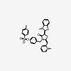 CN1C(=c2sc(=Cc3cccc[n+]3C)n(Cc3ccccc3)c2=O)Sc2ccccc21.Cc1ccc(S(=O)(=O)[O-])cc1